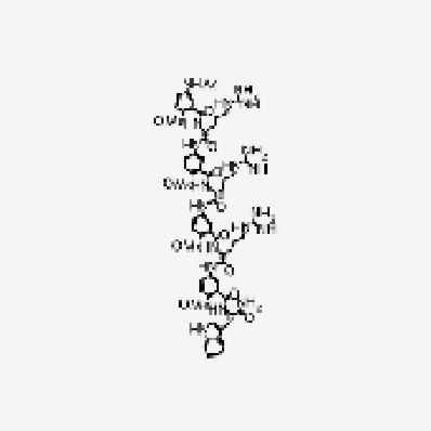 COc1ccc(NC(=O)[C@H](CCCNC(=N)N)NC(=O)c2cc(NC(=O)[C@H](CCCNC(=N)N)NC(=O)c3cc(NC(=O)[C@H](CCCNC(=N)N)NC(=O)c4cc(NC(C)=O)ccc4OC)ccc3OC)ccc2OC)cc1C(=O)N[C@@H](Cc1c[nH]c2ccccc12)C(N)=O